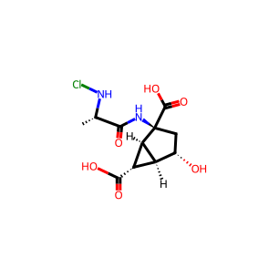 C[C@H](NCl)C(=O)N[C@@]1(C(=O)O)C[C@H](O)[C@H]2[C@H](C(=O)O)[C@H]21